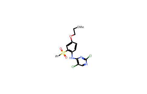 COCCOc1ccc(Nc2nc(Cl)ncc2Cl)c(S(=O)(=O)C(C)C)c1